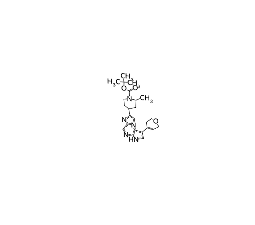 CC1CC(c2cn3c(cnc4[nH]cc(C5=CCOCC5)c43)n2)CCN1C(=O)OC(C)(C)C